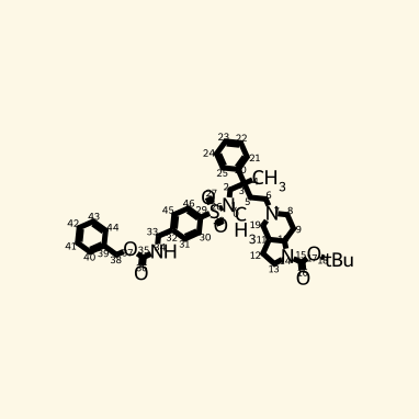 CN(CC(C)(CCN1CCC2C(CCN2C(=O)OC(C)(C)C)C1)c1ccccc1)S(=O)(=O)c1ccc(CNC(=O)OCc2ccccc2)cc1